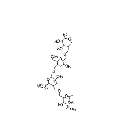 CCC1OCC(COCC2OC(CO)C(COCC3OC(C(=O)O)C(COCC(OC(C)O)C(O)/C=C(\C)O)C[C@@H]3O)CC2O)C(O)C1O